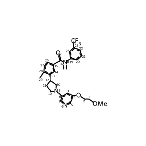 COCCOc1cncc(N2CC[C@@H](c3cc(C(=O)Nc4cccc(C(F)(F)F)c4)ccc3C)C2)c1